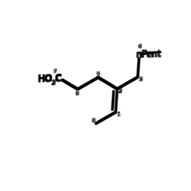 CC=C(CCCCCC)CCC(=O)O